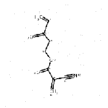 C=CC(=O)CCOC(=O)C(=C)C#N